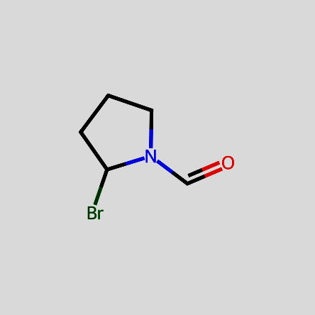 O=CN1CCCC1Br